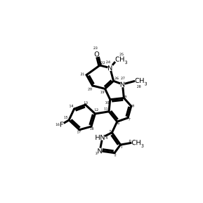 Cc1cn[nH]c1-c1ccc2c(c1-c1ccc(F)cc1)c1ccc(=O)n(C)c1n2C